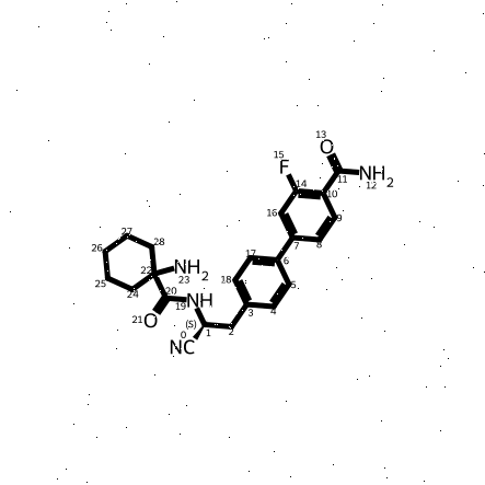 N#C[C@H](Cc1ccc(-c2ccc(C(N)=O)c(F)c2)cc1)NC(=O)C1(N)CCCCC1